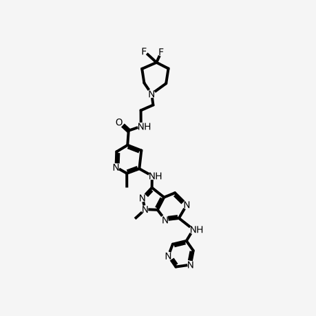 Cc1ncc(C(=O)NCCN2CCC(F)(F)CC2)cc1Nc1nn(C)c2nc(Nc3cncnc3)ncc12